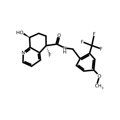 COc1ccc(CNC(=O)[C@]2(F)CC[C@H](O)c3ncccc32)c(C(F)(F)F)c1